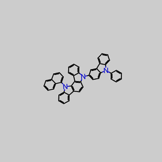 c1ccc(-n2c3ccccc3c3cc(-n4c5ccccc5c5c4ccc4c6ccccc6n(-c6cccc7ccccc67)c45)ccc32)cc1